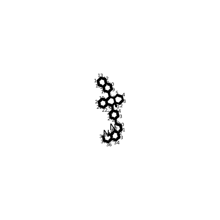 CC12C=CC=CC1C(c1ccc3ccccc3c1)=c1ccccc1=C2c1ccc(-c2ccc3ccc4cccnc4c3n2)cc1